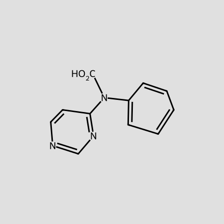 O=C(O)N(c1ccccc1)c1ccncn1